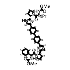 COC(=O)N[C@H](C(=O)N1CC=C[C@H]1c1nc(-c2ccc(-c3ccc(-c4cnc(C5C=CCN5C(=O)[C@H](NC(=O)OC)c5ccccc5)[nH]4)cc3)cc2)c[nH]1)C(C)C